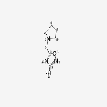 [2H]c1noc(CN2CCCC2)n1